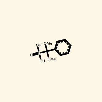 COC(OC)(c1cc[c]cc1)P(=O)(O)O